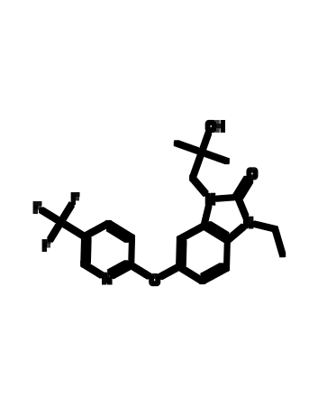 CCn1c(=O)n(CC(C)(C)O)c2cc(Oc3ccc(C(F)(F)F)cn3)ccc21